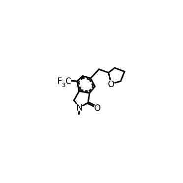 CN1Cc2c(cc(CC3CCCO3)cc2C(F)(F)F)C1=O